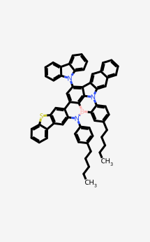 CCCCCc1ccc(N2B3c4cc(CCCCC)ccc4-n4c5cc6ccccc6cc5c5c(-n6c7ccccc7c7ccccc76)cc(c3c54)-c3cc4sc5ccccc5c4cc32)cc1